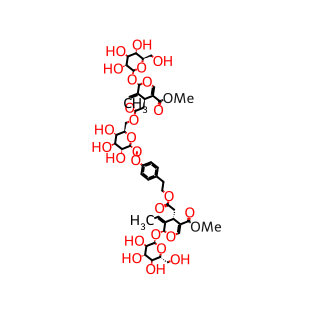 C/C=C1\[C@H](O[C@@H]2O[C@H](CO)[C@@H](O)[C@H](O)[C@H]2O)OC=C(C(=O)OC)[C@H]1CC(=O)OCCc1ccc(OO[C@@H]2O[C@H](COC(=O)C[C@@H]3C(C(=O)OC)=CO[C@@H](O[C@@H]4O[C@H](CO)[C@@H](O)[C@H](O)[C@H]4O)/C3=C/C)[C@@H](O)[C@H](O)[C@H]2O)cc1